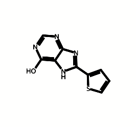 Oc1ncnc2nc(-c3cccs3)[nH]c12